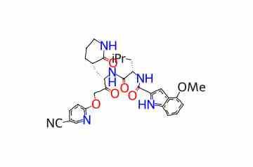 COc1cccc2[nH]c(C(=O)N[C@@H](CC(C)C)C(=O)N[C@@H](C[C@@H]3CCCNC3=O)C(=O)COc3ccc(C#N)cn3)cc12